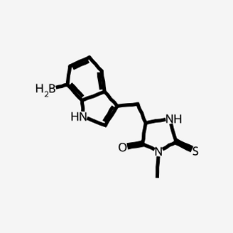 Bc1cccc2c(CC3NC(=S)N(C)C3=O)c[nH]c12